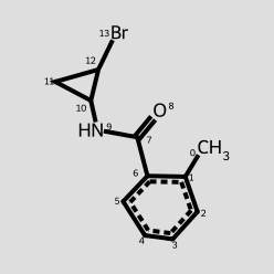 Cc1ccccc1C(=O)NC1CC1Br